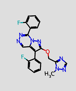 Cn1ncnc1COc1nn2c(-c3ccccc3F)nncc2c1-c1ccccc1F